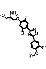 CC(C)Oc1ccc(-c2nc(-c3cc(F)c(OC[C@@H](N)CO)cc3Cl)no2)cc1C#N